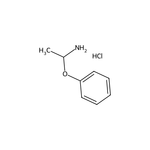 CC(N)Oc1ccccc1.Cl